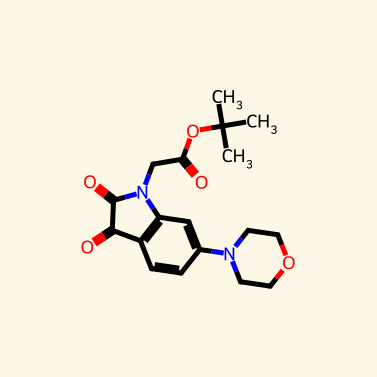 CC(C)(C)OC(=O)CN1C(=O)C(=O)c2ccc(N3CCOCC3)cc21